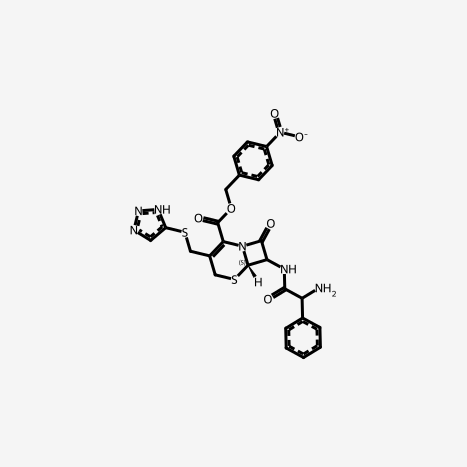 NC(C(=O)NC1C(=O)N2C(C(=O)OCc3ccc([N+](=O)[O-])cc3)=C(CSc3cnn[nH]3)CS[C@@H]12)c1ccccc1